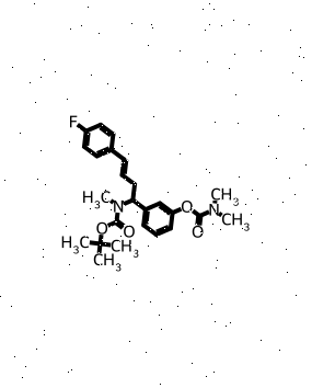 CN(C)C(=O)Oc1cccc(C(CC=Cc2ccc(F)cc2)N(C)C(=O)OC(C)(C)C)c1